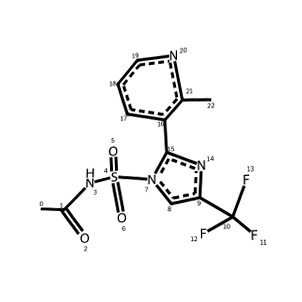 CC(=O)NS(=O)(=O)n1cc(C(F)(F)F)nc1-c1cccnc1C